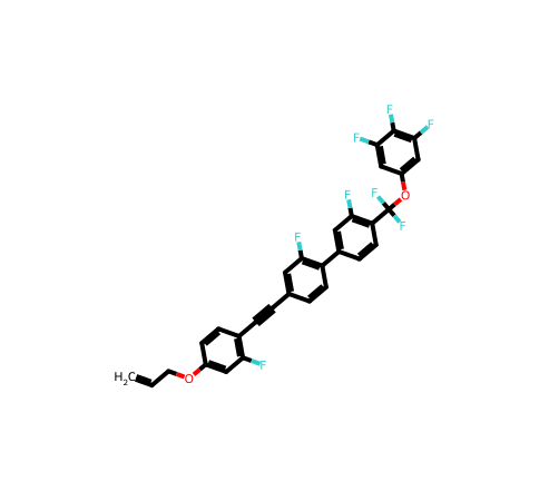 C=CCOc1ccc(C#Cc2ccc(-c3ccc(C(F)(F)Oc4cc(F)c(F)c(F)c4)c(F)c3)c(F)c2)c(F)c1